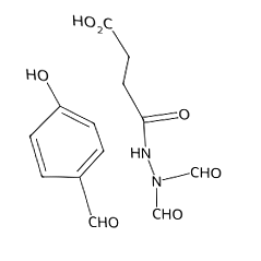 O=CN(C=O)NC(=O)CCC(=O)O.O=Cc1ccc(O)cc1